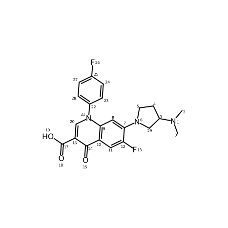 CN(C)C1CCN(c2cc3c(cc2F)c(=O)c(C(=O)O)cn3-c2ccc(F)cc2)C1